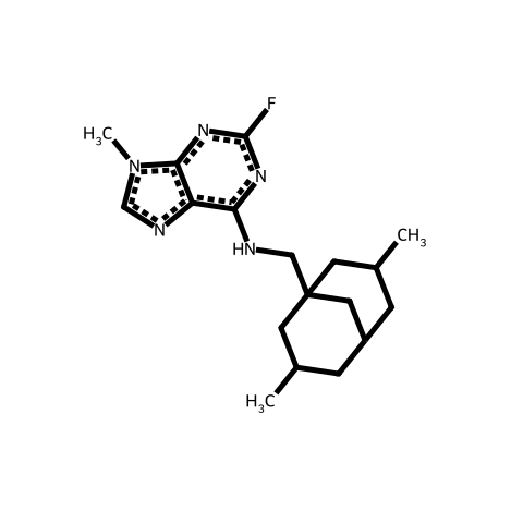 CC1CC2CC(C)CC(CNc3nc(F)nc4c3ncn4C)(C1)C2